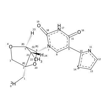 [2H]C[C@@]12CO[C@@H]([C@H](n3cc(-c4nccs4)c(=O)[nH]c3=O)O1)[C@@H]2C